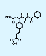 CCCCC(CC)CC(NC(=O)NC(=O)c1ccccc1)c1ccc(C=CC(=O)NO)cc1